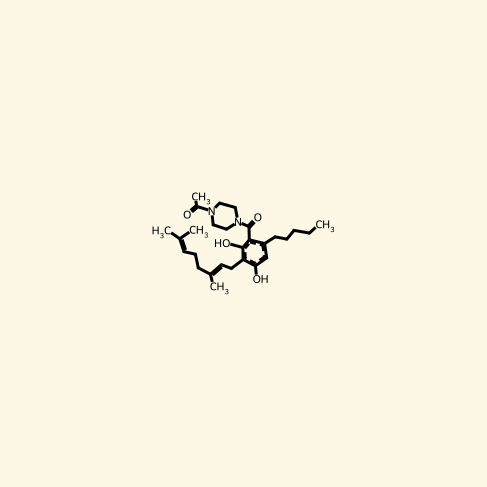 CCCCCc1cc(O)c(C/C=C(\C)CCC=C(C)C)c(O)c1C(=O)N1CCN(C(C)=O)CC1